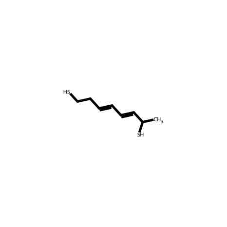 CC(S)C=CC=CCCS